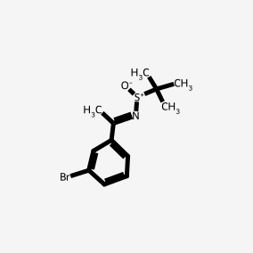 C/C(=N\[S+]([O-])C(C)(C)C)c1cccc(Br)c1